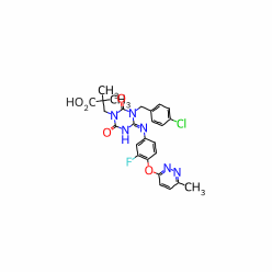 Cc1ccc(Oc2ccc(/N=c3\[nH]c(=O)n(CC(C)(C)C(=O)O)c(=O)n3Cc3ccc(Cl)cc3)cc2F)nn1